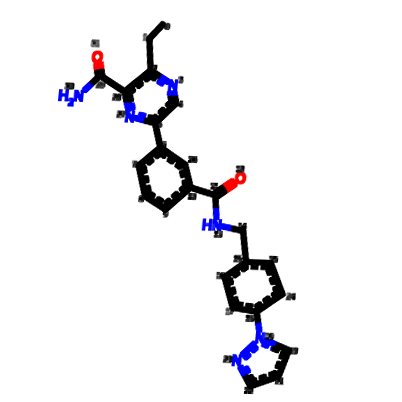 CCc1ncc(-c2cccc(C(=O)NCc3ccc(-n4cccn4)cc3)c2)nc1C(N)=O